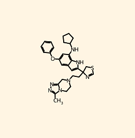 Cc1nnc2n1CCN(CCC1(c3cc4cc(Oc5ccccc5)cc(NC5CCCC5)c4[nH]3)CSC=N1)C2